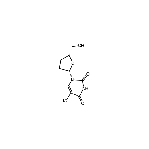 CCc1cn([C@@H]2CC[C@H](CO)O2)c(=O)[nH]c1=O